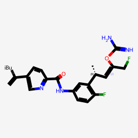 C=C(c1ccc(C(=O)Nc2ccc(F)c([C@H](C)/C=C(/CF)OC(=N)N)c2)nc1)C(C)CC